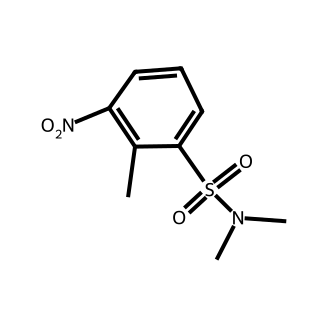 Cc1c([N+](=O)[O-])cccc1S(=O)(=O)N(C)C